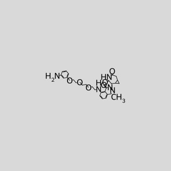 Cc1nn(C2C(=O)NC(=O)CC3CC32)c(=O)c2c(NCCOCCOCCOc3cccc(N)c3)cccc12